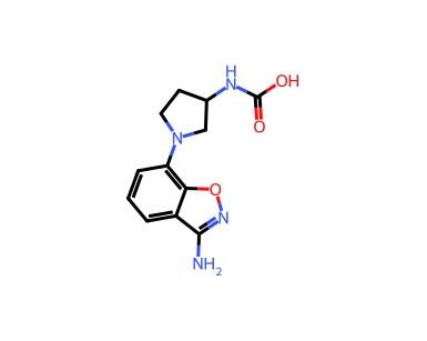 Nc1noc2c(N3CCC(NC(=O)O)C3)cccc12